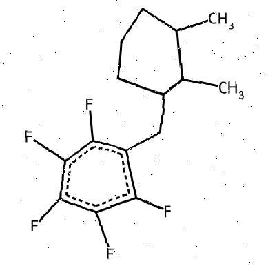 CC1CCCC(Cc2c(F)c(F)c(F)c(F)c2F)C1C